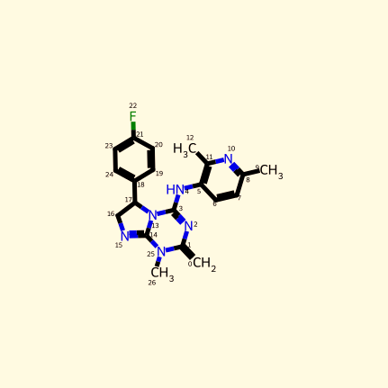 C=C1N=C(Nc2ccc(C)nc2C)N2C(=NCC2c2ccc(F)cc2)N1C